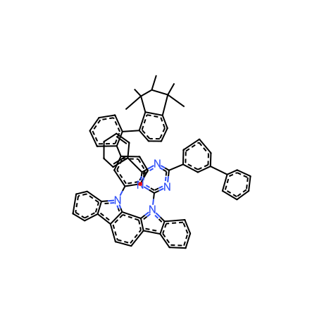 CC1C(C)(C)c2cccc(-c3ccccc3-c3cccc(-n4c5ccccc5c5ccc6c7ccccc7n(-c7nc(C8=CCCC=C8)nc(-c8cccc(-c9ccccc9)c8)n7)c6c54)c3)c2C1(C)C